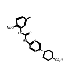 COc1ccc(C)cc1NC(=O)Nc1ccc([C@H]2CC[C@H](C(=O)O)CC2)cn1